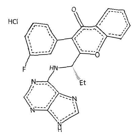 CC[C@H](Nc1ncnc2[nH]cnc12)c1oc2ccccc2c(=O)c1-c1cccc(F)c1.Cl